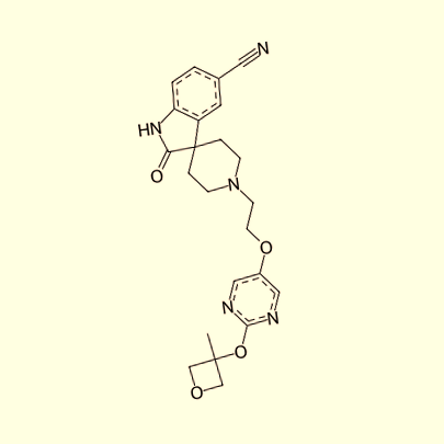 CC1(Oc2ncc(OCCN3CCC4(CC3)C(=O)Nc3ccc(C#N)cc34)cn2)COC1